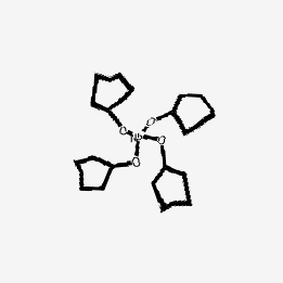 C1CCC([O][Nb]([O]C2CCCC2)([O]C2CCCC2)[O]C2CCCC2)C1